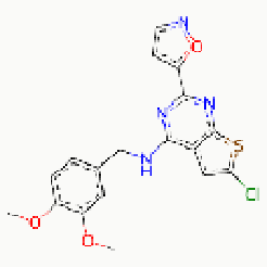 COc1ccc(CNc2nc(-c3ccno3)nc3sc(Cl)cc23)cc1OC